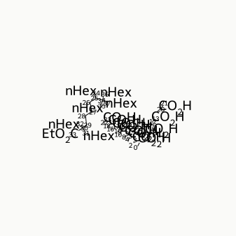 CC(=O)O.CC(=O)O.CC(=O)O.CC(=O)O.CC(=O)O.CC(=O)O.CC(=O)O.CC(=O)O.CC(=O)O.CC(=O)O.CC(=O)O.CC(=O)O.CCCCCCC(CCCCC(CCCCCC)(CCCCCC)C(=O)OCC)C(CCCCCC)(CCCCCC)CCCCCC